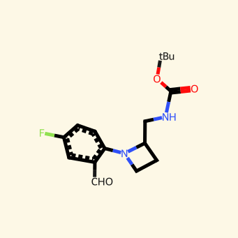 CC(C)(C)OC(=O)NCC1CCN1c1ccc(F)cc1C=O